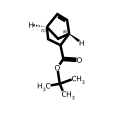 CC(C)(C)OC(=O)C1C[C@H]2C=C[C@H]1C2